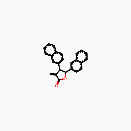 C=C1C(=O)OC(c2ccc3ccccc3c2)C1c1ccc2ccccc2c1